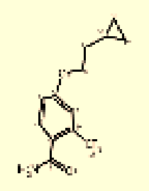 NC(=O)c1ccc(OCCC2CC2)cc1C(F)(F)F